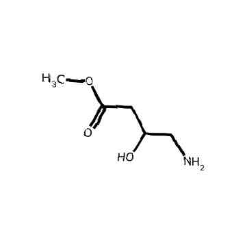 COC(=O)CC(O)CN